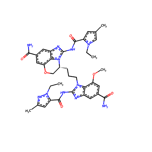 CCn1cc(C)cc1C(=O)Nc1nc2cc(C(N)=O)cc3c2n1[C@H](CCCn1c(NC(=O)c2cc(C)nn2CC)nc2cc(C(N)=O)cc(OC)c21)CO3